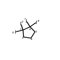 IC1(I)CCCC1(I)I